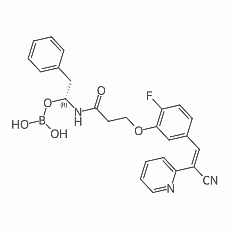 N#CC(=Cc1ccc(F)c(OCCC(=O)N[C@@H](Cc2ccccc2)OB(O)O)c1)c1ccccn1